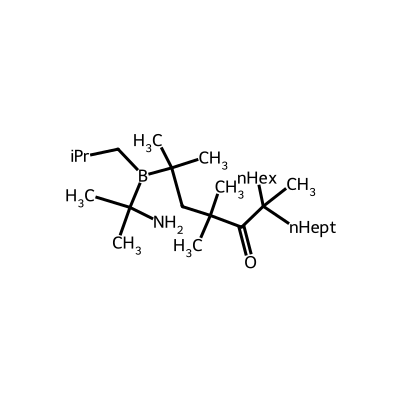 CCCCCCCC(C)(CCCCCC)C(=O)C(C)(C)CC(C)(C)B(CC(C)C)C(C)(C)N